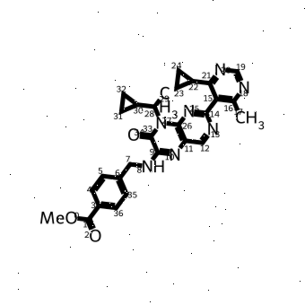 COC(=O)c1ccc(CNc2nc3cnc(-c4c(C)ncnc4C4CC4)nc3n(C(C)C3CC3)c2=O)cc1